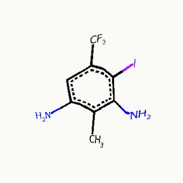 Cc1c(N)cc(C(F)(F)F)c(I)c1N